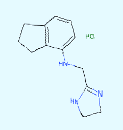 Cl.c1cc2c(c(NCC3=NCCN3)c1)CCC2